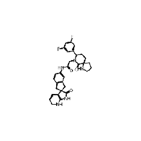 O=C(CN1C(=O)C2(CCCN2)CCC1c1cc(F)cc(F)c1)Nc1ccc2c(c1)CC1(C2)C(=O)NC2=C1C=CCN2